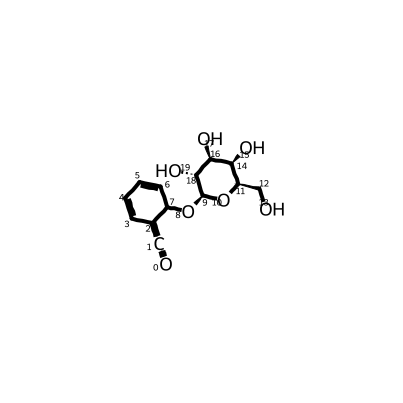 O=C=C1C=CC=CC1O[C@@H]1O[C@H](CO)[C@H](O)[C@H](O)[C@H]1O